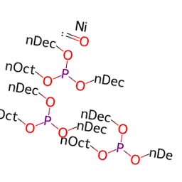 CCCCCCCCCCOP(OCCCCCCCC)OCCCCCCCCCC.CCCCCCCCCCOP(OCCCCCCCC)OCCCCCCCCCC.CCCCCCCCCCOP(OCCCCCCCC)OCCCCCCCCCC.[C]=O.[Ni]